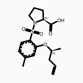 C=CC[C@H](C)Oc1cc(C)ccc1S(=O)(=O)N1CCC[C@H]1C(=O)O